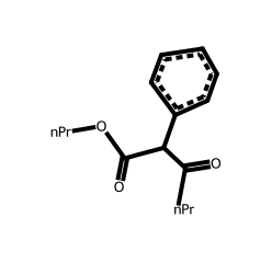 CCCOC(=O)C(C(=O)CCC)c1ccccc1